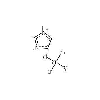 [Cl][Ti]([Cl])([Cl])[Cl].c1c[nH]cn1